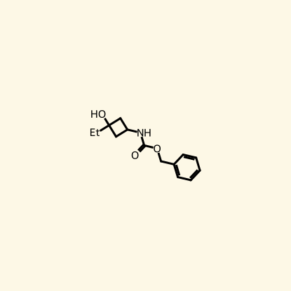 CCC1(O)CC(NC(=O)OCc2ccccc2)C1